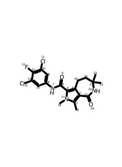 Cc1c2c(c(C(=O)Nc3cc(Cl)c(F)c(Cl)c3)n1C)CCC(C)(C)NC2=O